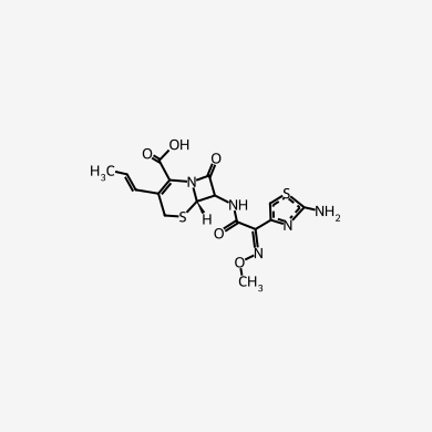 CC=CC1=C(C(=O)O)N2C(=O)C(NC(=O)/C(=N\OC)c3csc(N)n3)[C@@H]2SC1